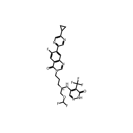 O=c1[nH]ncc(N[C@H](CCCn2cnc3cc(-c4cnc(C5CC5)cn4)c(F)cc3c2=O)COC(F)F)c1C(F)(F)F